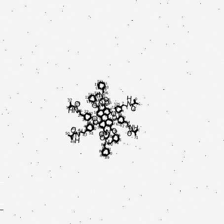 C=C(C)C(=O)NCCc1ccc(Oc2cc3c4c(cc(Oc5ccc(CCNC(=O)C(=C)C)cc5)c5c6c(Oc7ccc(CCNC(=O)C(=C)C)cc7)cc7c8c(cc(Oc9ccc(CCNC(=O)C(=C)C)cc9)c(c2c45)c86)C(=O)N(CC(=O)N(Cc2ccccc2)Cc2ccccc2)C7=O)C(=O)N(CC(=O)N(Cc2ccccc2)Cc2ccccc2)C3=O)cc1